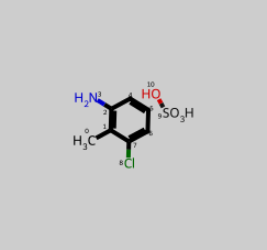 Cc1c(N)cccc1Cl.O=S(=O)(O)O